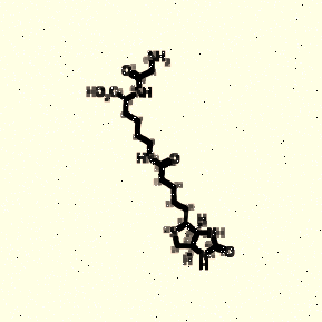 NCC(=O)N[C@@H](CCCCNC(=O)CCCC[C@@H]1SC[C@@H]2NC(=O)N[C@@H]21)C(=O)O